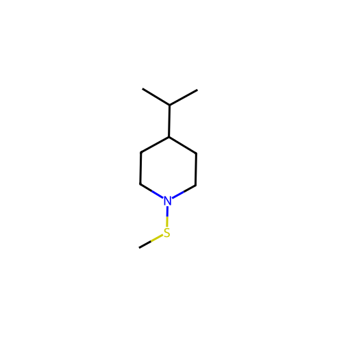 CSN1CCC(C(C)C)CC1